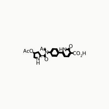 CC(=O)OC1CN[C@H](C(=O)N(C(C)=O)c2ccc(-c3ccc(C(=O)O)c(=O)[nH]3)cc2)C1